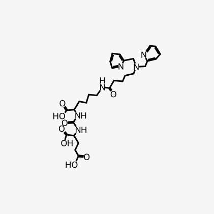 O=C(O)CCC(NC(=O)NC(CCCCNC(=O)CCCCN(Cc1ccccn1)Cc1ccccn1)C(=O)O)C(=O)O